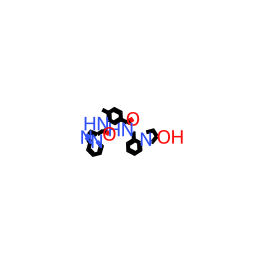 Cc1ccc(C(=O)NCc2ccccc2N2CCC(O)C2)cc1NC(=O)c1cnc2ccccn12